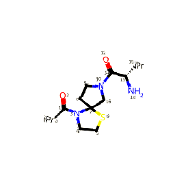 CC(C)C(=O)N1CCSC12CCN(C(=O)[C@@H](N)C(C)C)C2